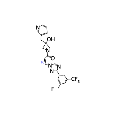 O=C(/C=C\n1cnc(-c2cc(CF)cc(C(F)(F)F)c2)n1)N1CC(O)(Cc2cccnc2)C1